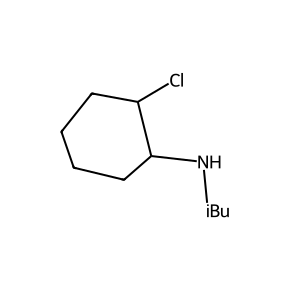 CCC(C)NC1CCCCC1Cl